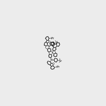 CC(C)c1cccc2c1oc1c(N(c3ccc([Si](C)(C)C)cc3)c3ccc4c(c3)C3(c5ccccc5-c5cc6c7ccccc7c7ccccc7c6cc53)c3cc5c(cc3-4)Cc3ccc4c(oc6c(C(C)C)cccc64)c3N5c3ccc([Si](C)(C)C)cc3)cccc12